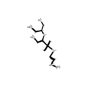 BBCCOC(C)(C)C(CO)OC(CO)CO